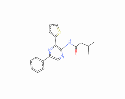 CC(C)CC(=O)Nc1ncc(-c2ccccc2)nc1-c1cccs1